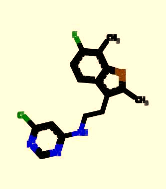 Cc1sc2c(C)c(F)ccc2c1CCNc1cc(Cl)ncn1